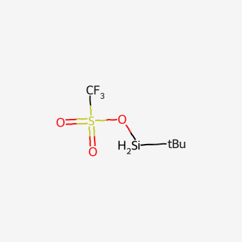 CC(C)(C)[SiH2]OS(=O)(=O)C(F)(F)F